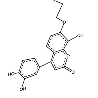 O=c1cc(-c2ccc(O)c(O)c2)c2ccc(OCCF)c(O)c2o1